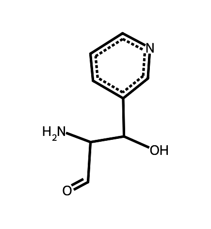 NC(C=O)C(O)c1cccnc1